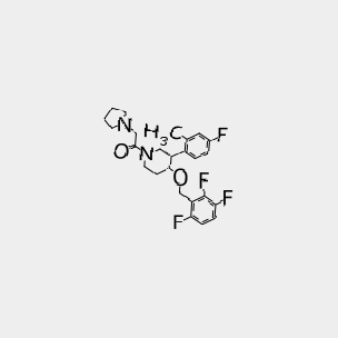 Cc1cc(F)ccc1C1CN(C(=O)CN2CCCC2)CCC1OCc1c(F)ccc(F)c1F